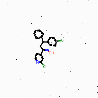 O/N=C(/CC(c1ccccc1)c1ccc(Br)cc1)c1ccnc(Cl)c1